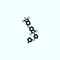 Cc1cccc(Oc2cccc(N3C(=O)c4ccc(Oc5ccc6c(c5)C(=O)N(C)C6=O)cc4C3=O)c2)c1